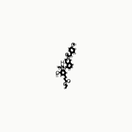 CCOC(=O)CCc1cc(OC)c2c(c1)N(c1cccc3c1CCN(C(=O)Cc1ccc(OC)cc1)C3)NN2C